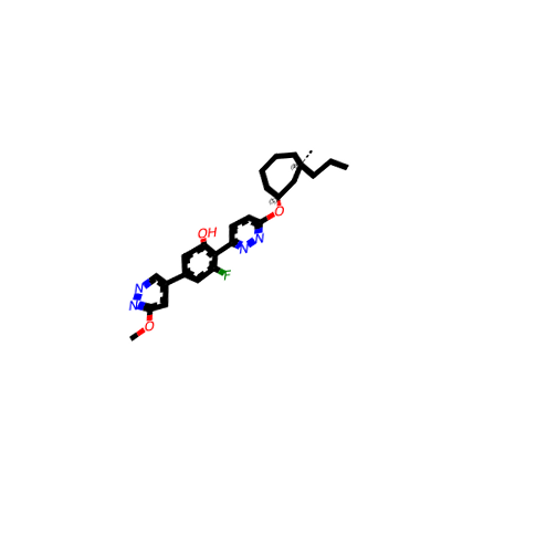 CCC[C@]1(C)CCCC[C@H](Oc2ccc(-c3c(O)cc(-c4cnnc(OC)c4)cc3F)nn2)C1